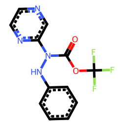 O=C(OC(F)(F)F)N(Nc1ccccc1)c1cnccn1